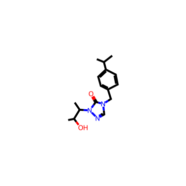 CC(C)c1ccc(Cn2cnn(C(C)C(C)O)c2=O)cc1